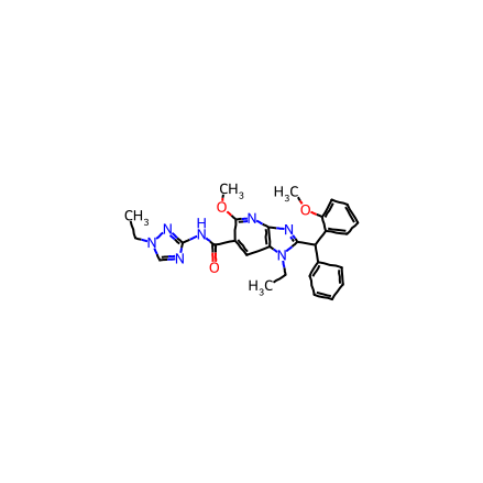 CCn1cnc(NC(=O)c2cc3c(nc2OC)nc(C(c2ccccc2)c2ccccc2OC)n3CC)n1